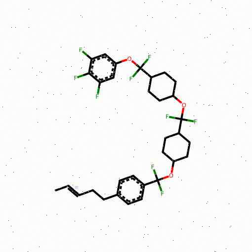 C/C=C/CCc1ccc(C(F)(F)OC2CCC(C(F)(F)OC3CCC(C(F)(F)Oc4cc(F)c(F)c(F)c4)CC3)CC2)cc1